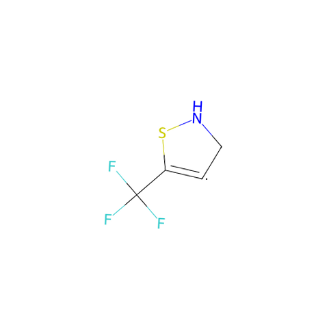 FC(F)(F)C1=[C]CNS1